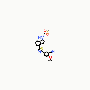 CC(C)Oc1ccc(-c2ncc(C3=C4CC[C@H](NCCS(C)(=O)=O)C4=CCC3)s2)cc1C#N